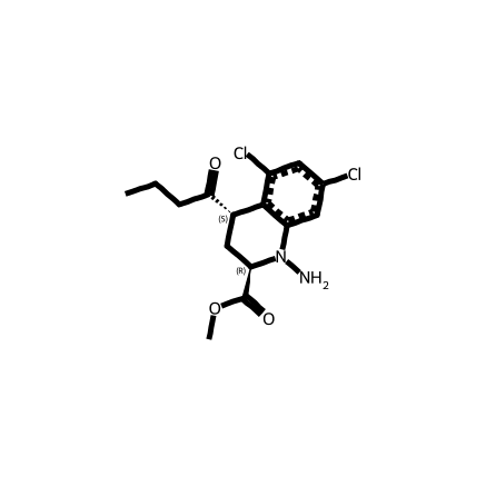 CCCC(=O)[C@H]1C[C@H](C(=O)OC)N(N)c2cc(Cl)cc(Cl)c21